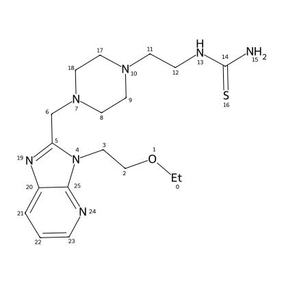 CCOCCn1c(CN2CCN(CCNC(N)=S)CC2)nc2cccnc21